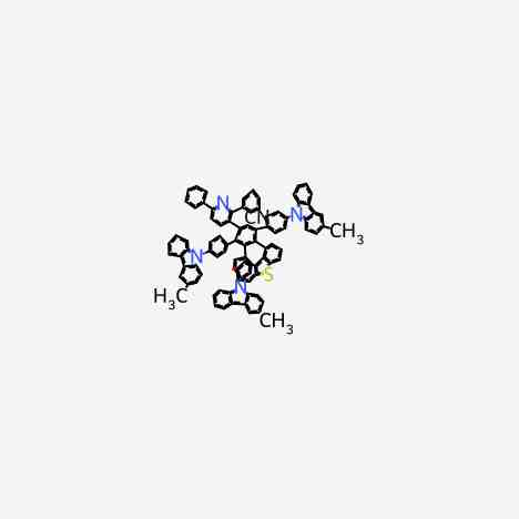 Cc1ccc2c(c1)c1ccccc1n2-c1ccc(-c2c(C#N)c(-c3ccc(-c4ccccc4)nc3-c3ccccc3)c(-c3ccc(-n4c5ccccc5c5cc(C)ccc54)cc3)c(-c3ccc(-n4c5ccccc5c5cc(C)ccc54)cc3)c2-c2cccc3sc4ccccc4c23)cc1